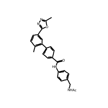 CC(=O)NCc1ccc(NC(=O)c2ccc(-c3cc(-c4nnc(C)o4)ccc3C)cc2)cc1